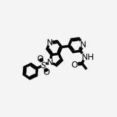 CC(=O)Nc1cc(-c2cncc3c2ccn3S(=O)(=O)c2ccccc2)ccn1